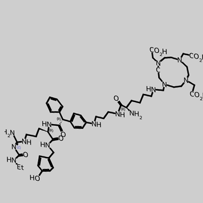 CCNC(=O)/N=C(/N)NCCC[C@@H](NC(=O)[C@H](c1ccccc1)c1ccc(NCCCNC(=O)[C@H](N)CCCCNCN2CCN(CC(=O)O)CCN(CC(=O)O)CCN(CC(=O)O)CC2)cc1)C(=O)NCc1ccc(O)cc1